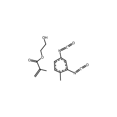 C=C(C)C(=O)OCCO.Cc1ccc(N=C=O)cc1N=C=O